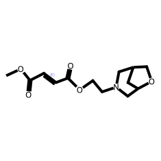 COC(=O)/C=C/C(=O)OCCN1CC2COC(C2)C1